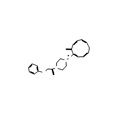 C=C1/C=C\C=C/C/C=C\C=C/1S(=O)(=O)N1CCN(C(=O)COc2ccccc2)CC1